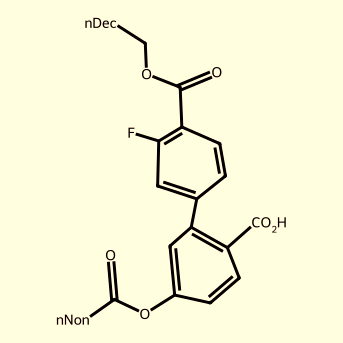 CCCCCCCCCCCOC(=O)c1ccc(-c2cc(OC(=O)CCCCCCCCC)ccc2C(=O)O)cc1F